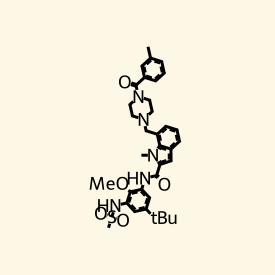 COc1c(NC(=O)c2cc3cccc(CN4CCN(C(=O)c5cccc(C)c5)CC4)c3n2C)cc(C(C)(C)C)cc1NS(C)(=O)=O